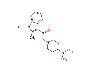 Cc1c(C(=O)CN2CCC(N(C)C)CC2)c2ccccc2n1C